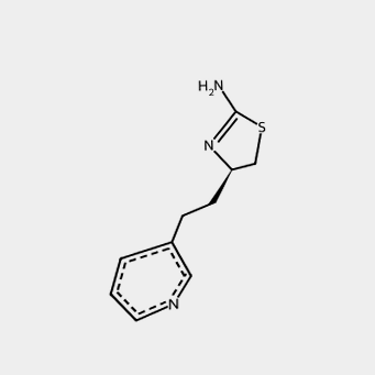 NC1=N[C@H](CCc2cccnc2)CS1